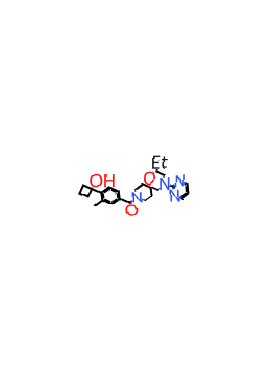 CCC1CN(c2ncccn2)CC2(CCN(C(=O)c3ccc(C4(O)CCC4)c(C)c3)CC2)O1